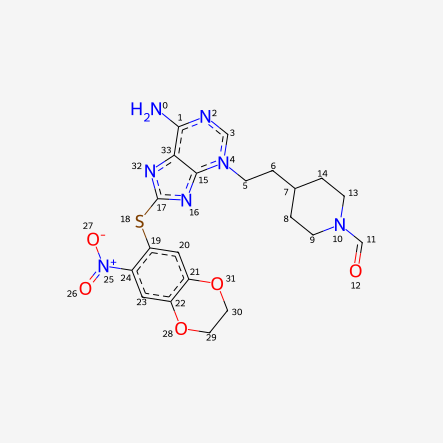 Nc1ncn(CCC2CCN(C=O)CC2)c2nc(Sc3cc4c(cc3[N+](=O)[O-])OCCO4)nc1-2